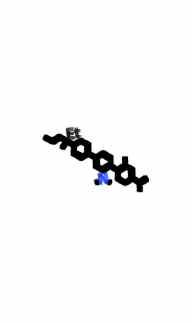 C=C(C)C1=CC(C)=C(c2ccc(C3=CCC(C(C)(C=CC)CC)C=C3)cc2N(C)C)CC1